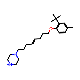 Cc1ccc(OCCCC=CCCCN2CCNCC2)c(C(C)(C)C)c1